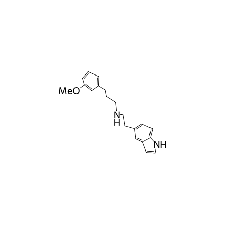 COc1cccc(CCCNCCc2ccc3[nH]ccc3c2)c1